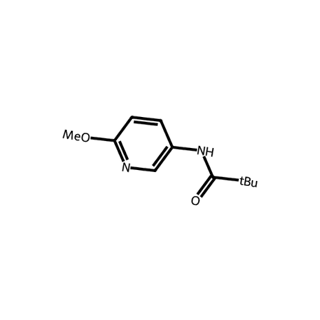 COc1ccc(NC(=O)C(C)(C)C)cn1